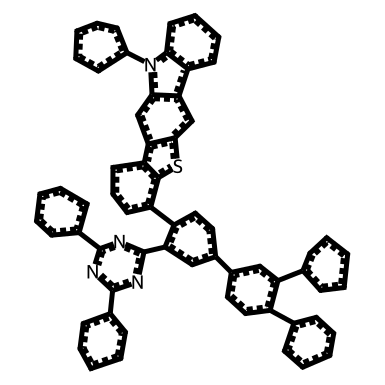 c1ccc(-c2nc(-c3ccccc3)nc(-c3cc(-c4ccc(-c5ccccc5)c(-c5ccccc5)c4)ccc3-c3cccc4c3sc3cc5c6ccccc6n(-c6ccccc6)c5cc34)n2)cc1